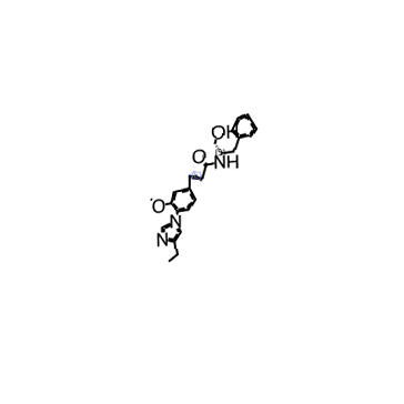 CCc1cn(-c2ccc(/C=C/C(=O)N[C@H](CO)Cc3ccccc3)cc2OC)cn1